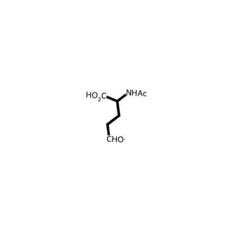 CC(=O)NC(CC[C]=O)C(=O)O